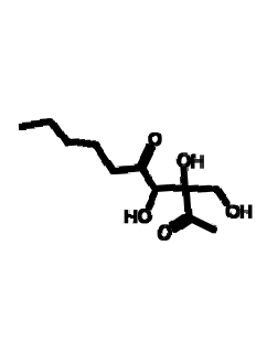 CCCCCC(=O)C(O)C(O)(CO)C(C)=O